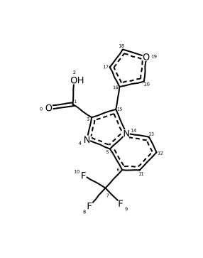 O=C(O)c1nc2c(C(F)(F)F)cccn2c1-c1ccoc1